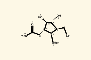 CCCCCCN1[C@H](CO)[C@@H](O)[C@H](O)[C@H]1CC(=O)NC